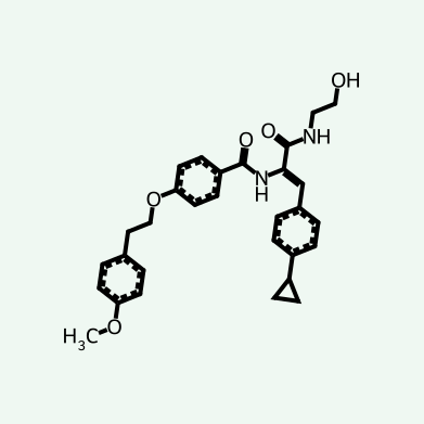 COc1ccc(CCOc2ccc(C(=O)N/C(=C\c3ccc(C4CC4)cc3)C(=O)NCCO)cc2)cc1